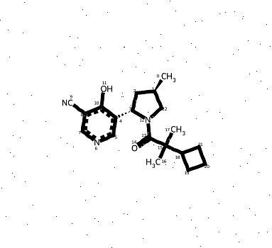 C[C@@H]1C[C@@H](c2cncc(C#N)c2O)N(C(=O)C(C)(C)C2CCC2)C1